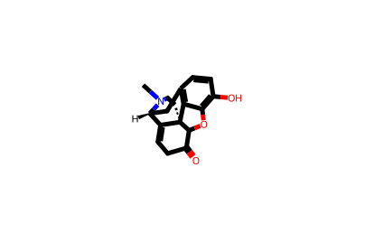 CN1CC[C@@]23C4=CCC(=O)C2Oc2c(O)ccc(c23)C[C@H]41